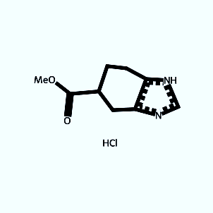 COC(=O)C1CCc2[nH]cnc2C1.Cl